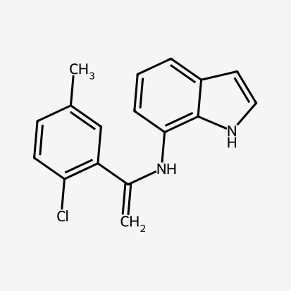 C=C(Nc1cccc2cc[nH]c12)c1cc(C)ccc1Cl